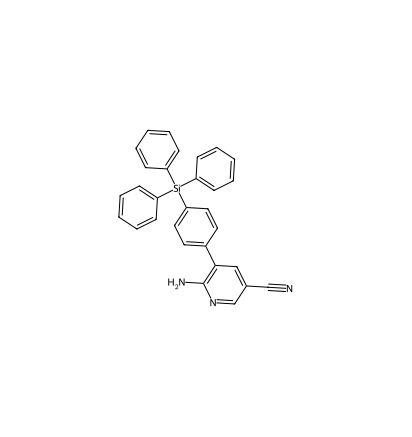 N#Cc1cnc(N)c(-c2ccc([Si](c3ccccc3)(c3ccccc3)c3ccccc3)cc2)c1